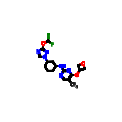 FC(F)Oc1ncn([C@@H]2CCC[C@@H](Nc3ncc(C(F)(F)F)c(OC4COC4)n3)C2)n1